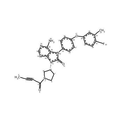 CC#CC(=O)N1CC[C@@H](n2c(=O)n(-c3ccc(Oc4ccc(F)c(C)c4)cc3)c3c(N)ncnc32)C1